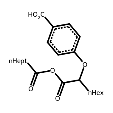 CCCCCCCC(=O)OC(=O)C(CCCCCC)Oc1ccc(C(=O)O)cc1